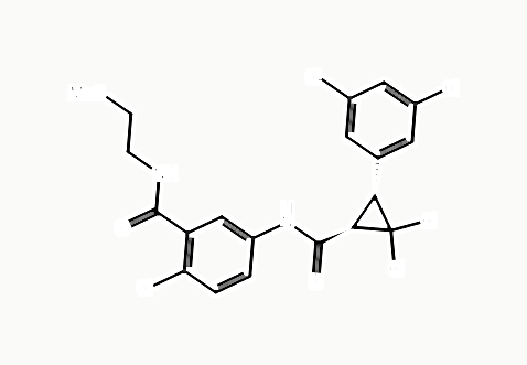 CSCCNC(=O)c1cc(NC(=O)[C@H]2[C@H](c3cc(Cl)cc(Cl)c3)C2(Cl)Cl)ccc1Cl